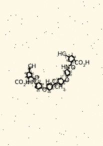 C#Cc1ccc(C(=O)O)c(C(=O)Nc2ccc(Oc3ccc(C(C)(C)c4ccc(Oc5ccc(NC(=O)c6cc(C#C)ccc6C(=O)O)cc5)cc4)cc3)cc2)c1